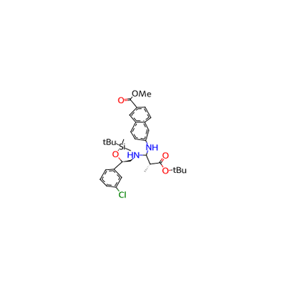 COC(=O)c1ccc2cc(NC(NC[C@H](O[Si](C)(C)C(C)(C)C)c3cccc(Cl)c3)[C@@H](C)C(=O)OC(C)(C)C)ccc2c1